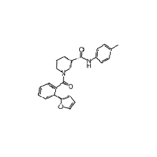 Cc1ccc(NC(=O)C2CCCN(C(=O)c3ccccc3-c3ccco3)C2)cc1